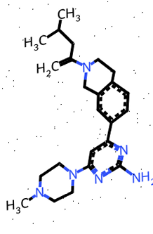 C=C(CC(C)C)N1CCc2ccc(-c3cc(N4CCN(C)CC4)nc(N)n3)cc2C1